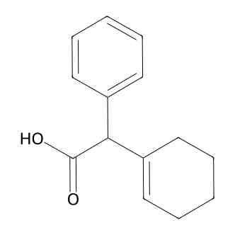 O=C(O)C(C1=CCCCC1)c1ccccc1